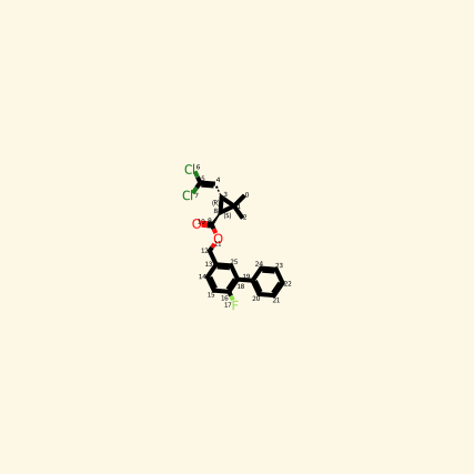 CC1(C)[C@@H](C=C(Cl)Cl)[C@@H]1C(=O)OCc1ccc(F)c(-c2ccccc2)c1